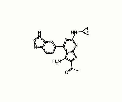 CC(=O)c1sc2nc(NC3CC3)nc(-c3ccc4nc[nH]c4c3)c2c1N